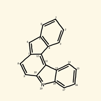 [c]1cccc2c1C=c1ccc3c(c1-2)-c1ccccc1N=3